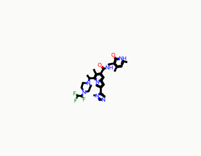 Cc1cc(C)c(CNC(=O)c2cc3cc(-c4cncn4C)cn3c(C(C)N3CCN(C(F)C(F)F)CC3)c2C)c(=O)[nH]1